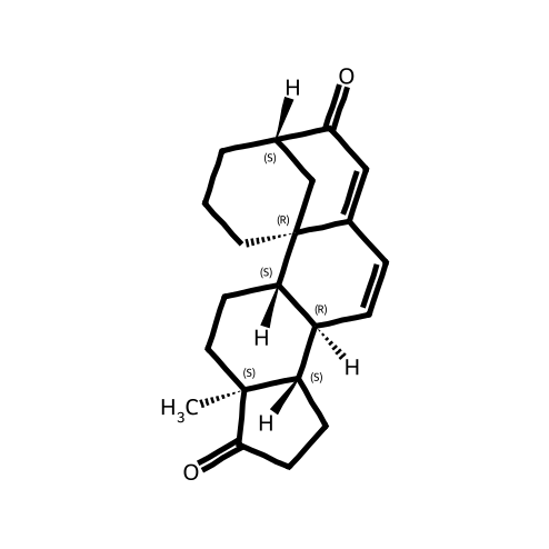 C[C@]12CC[C@H]3[C@@H](C=CC4=CC(=O)[C@H]5CCC[C@]43C5)[C@@H]1CCC2=O